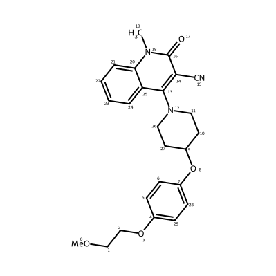 COCCOc1ccc(OC2CCN(c3c(C#N)c(=O)n(C)c4ccccc34)CC2)cc1